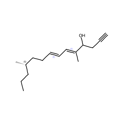 C#CCC(O)/C(C)=C/C=C/CC[C@@H](C)CCC